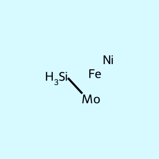 [Fe].[Ni].[SiH3][Mo]